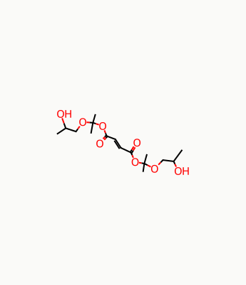 CC(O)COC(C)(C)OC(=O)C=CC(=O)OC(C)(C)OCC(C)O